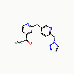 COC(=O)c1ccnc(Cc2ccc(Cn3cccn3)nc2)c1